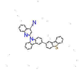 N#Cc1cc(-n2c3ccccc3c3cc(-c4ccc5sc6ccccc6c5c4)ccc32)nc2ccccc12